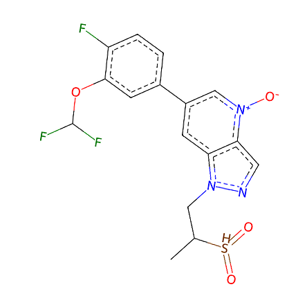 CC(Cn1ncc2c1cc(-c1ccc(F)c(OC(F)F)c1)c[n+]2[O-])[SH](=O)=O